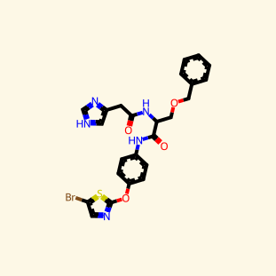 O=C(Cc1c[nH]cn1)NC(COCc1ccccc1)C(=O)Nc1ccc(Oc2ncc(Br)s2)cc1